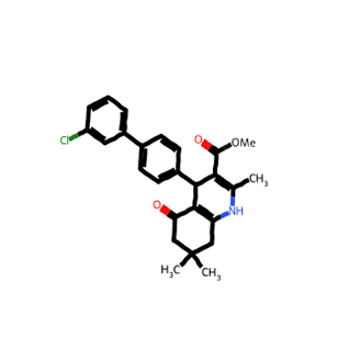 COC(=O)C1=C(C)NC2=C(C(=O)CC(C)(C)C2)C1c1ccc(-c2cccc(Cl)c2)cc1